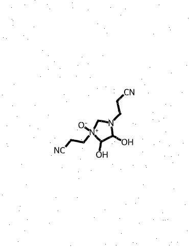 N#CCCN1C[N+]([O-])(CCC#N)C(O)C1O